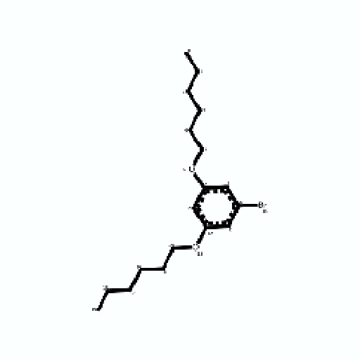 CCCCCCOc1cc(Br)cc(OCCCCCC)c1